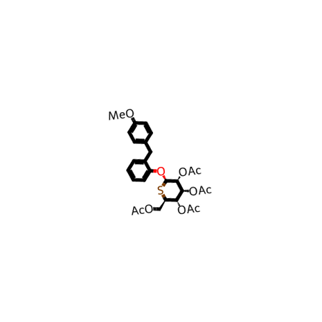 COc1ccc(Cc2ccccc2O[C@@H]2S[C@H](COC(C)=O)[C@@H](OC(C)=O)[C@H](OC(C)=O)[C@H]2OC(C)=O)cc1